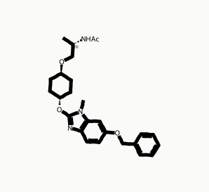 CC(=O)N[C@@H](C)CO[C@H]1CC[C@H](Oc2nc3ccc(OCc4ccccc4)cc3n2C)CC1